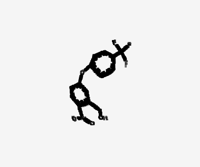 O=[N+]([O-])c1ccc(Oc2ccc(C(F)(F)F)cc2)cc1CO